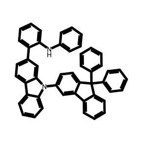 c1ccc(Nc2ccccc2-c2ccc3c4ccccc4n(-c4ccc5c(c4)-c4ccccc4C5(c4ccccc4)c4ccccc4)c3c2)cc1